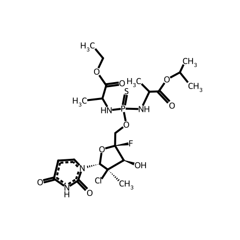 CCOC(=O)C(C)NP(=S)(NC(C)C(=O)OC(C)C)OC[C@@]1(F)O[C@@H](n2ccc(=O)[nH]c2=O)[C@](C)(Cl)[C@@H]1O